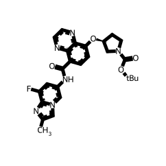 Cc1cn2cc(NC(=O)c3ccc(O[C@H]4CCN(C(=O)OC(C)(C)C)C4)c4nccnc34)cc(F)c2n1